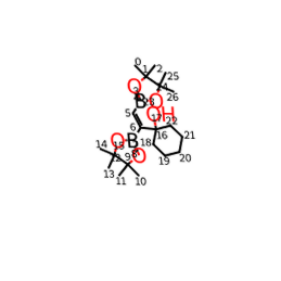 CC1(C)OB(/C=C(/B2OC(C)(C)C(C)(C)O2)C2(O)CCCCC2)OC1(C)C